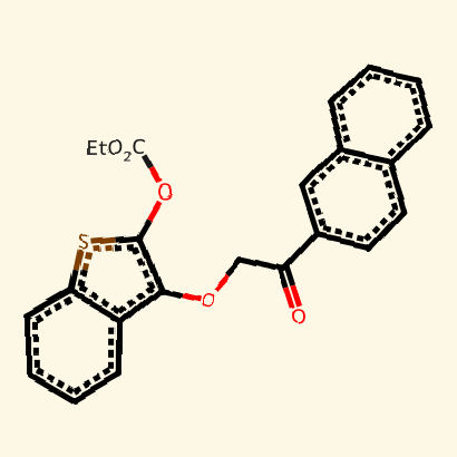 CCOC(=O)Oc1sc2ccccc2c1OCC(=O)c1ccc2ccccc2c1